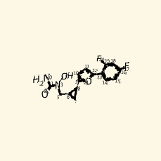 NC(=O)N(O)C[C@@H]1C[C@H]1c1ccc(-c2ccc(F)cc2F)o1